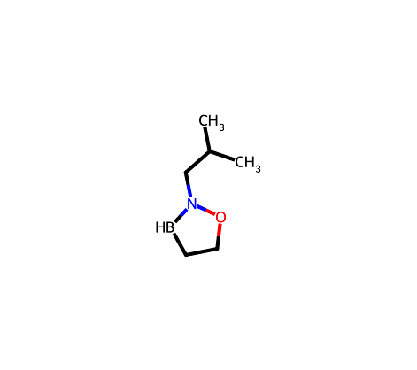 CC(C)CN1BCCO1